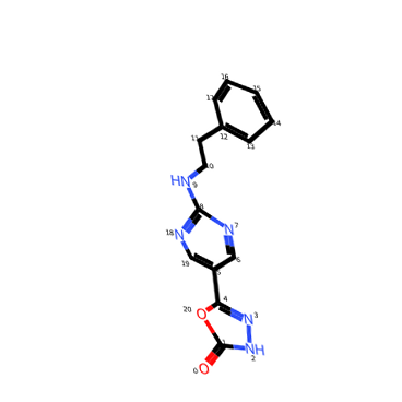 O=c1[nH]nc(-c2cnc(NCCc3ccccc3)nc2)o1